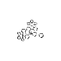 c1ccc(-c2ccc(N(c3cccc4c3-c3ccccc3C43c4ccccc4Oc4ccccc43)c3cccc4c3-c3ccccc3C43c4ccccc4Oc4ccccc43)cc2)cc1